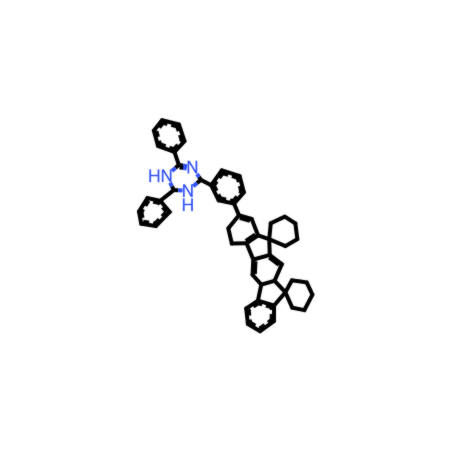 C1=C2C(=CC3C1c1ccccc1C31CCCCC1)C1(CCCCC1)C1=C2CCC(c2cccc(C3N=C(c4ccccc4)NC(c4ccccc4)N3)c2)=C1